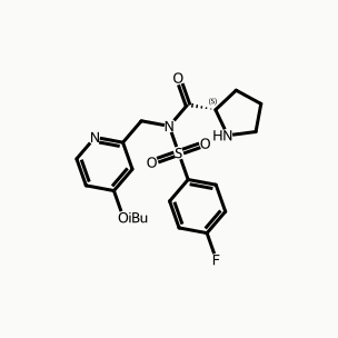 CC(C)COc1ccnc(CN(C(=O)[C@@H]2CCCN2)S(=O)(=O)c2ccc(F)cc2)c1